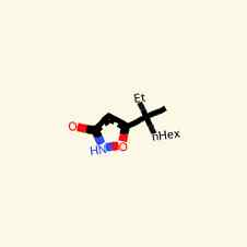 CCCCCCC(C)(CC)c1cc(=O)[nH]o1